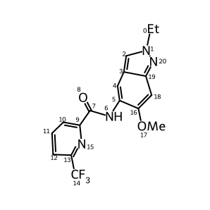 CCn1cc2cc(NC(=O)c3cccc(C(F)(F)F)n3)c(OC)cc2n1